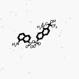 Nc1cccc2ccc(S(=O)(=O)OS(=O)(=O)c3ccc4c(N)c(C(O)(C(F)(F)F)C(F)(F)F)ccc4c3)cc12